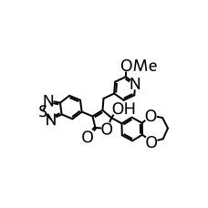 COc1cc(CC2=C(c3ccc4nsnc4c3)C(=O)OC2(O)c2ccc3c(c2)OCCCO3)ccn1